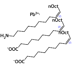 CCCCCCCC/C=C\CCCCCCCC(=O)[O-].CCCCCCCC/C=C\CCCCCCCC(=O)[O-].CCCCCCCC/C=C\CCCCCCCCN.[Pb+2]